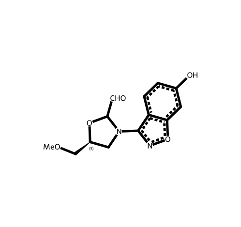 COC[C@@H]1CN(c2noc3cc(O)ccc23)C(C=O)O1